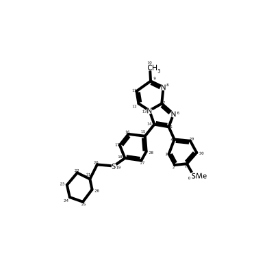 CSc1ccc(-c2nc3nc(C)ccn3c2-c2ccc(SCC3CCCCC3)cc2)cc1